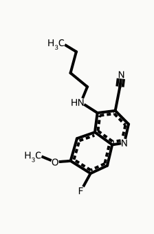 CCCCNc1c(C#N)cnc2cc(F)c(OC)cc12